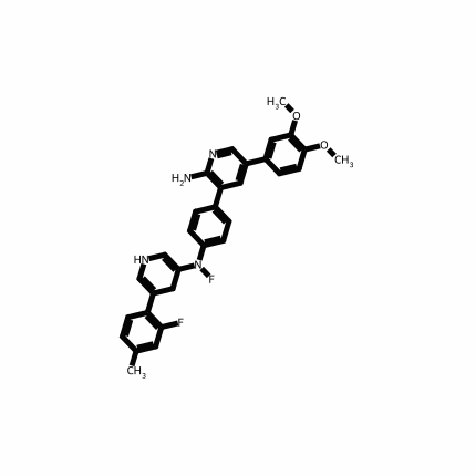 COc1ccc(-c2cnc(N)c(-c3ccc(N(F)C4=CNC=C(c5ccc(C)cc5F)C4)cc3)c2)cc1OC